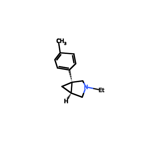 CCN1C[C@H]2C[C@@]2(c2ccc(C)cc2)C1